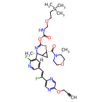 C#CCOc1cnc(/C(F)=C/c2cnc(F)c([C@@]3(C)N=C(OC(=O)NCOCC[Si](C)(C)C)S[C@@]4(C(=O)N5CCOC[C@H]5C)C[C@H]43)c2)cn1